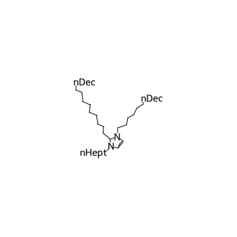 CCCCCCCCCCCCCCCCCCCC1N(CCCCCCC)C=CN1CCCCCCCCCCCCCCCC